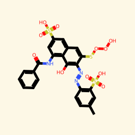 Cc1ccc(N=Nc2c(SOOO)cc3cc(S(=O)(=O)O)cc(NC(=O)c4ccccc4)c3c2O)c(S(=O)(=O)O)c1